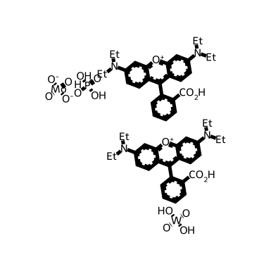 CCN(CC)c1ccc2c(-c3ccccc3C(=O)O)c3ccc(N(CC)CC)cc3[o+]c2c1.CCN(CC)c1ccc2c(-c3ccccc3C(=O)O)c3ccc(N(CC)CC)cc3[o+]c2c1.O=P(O)(O)O.[O]=[Mo](=[O])([O-])[O-].[O]=[W](=[O])([OH])[OH]